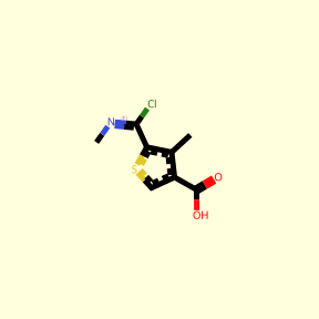 C/N=C(/Cl)c1scc(C(=O)O)c1C